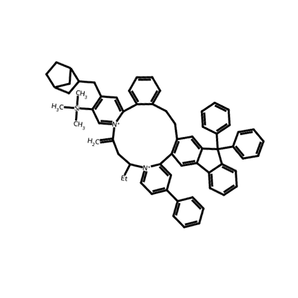 C=C1CC(CC)[n+]2ccc(-c3ccccc3)cc2-c2cc3c(cc2CCc2ccccc2-c2cc(CC4CC5CCC4C5)c([Si](C)(C)C)c[n+]21)C(c1ccccc1)(c1ccccc1)c1ccccc1-3